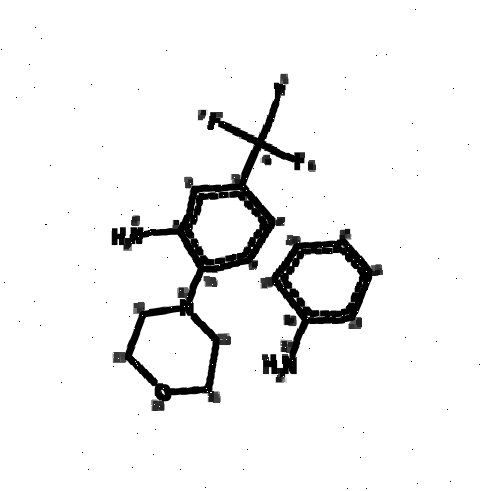 Nc1cc(C(F)(F)F)ccc1N1CCOCC1.Nc1ccccc1